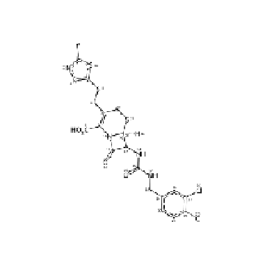 Cc1nnc(SCC2=C(C(=O)O)N3C(=O)C(NC(=O)NCc4ccc(Cl)c(Cl)c4)[C@@H]3SC2)s1